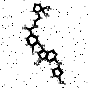 Cn1cc(Nc2ncc3c(Nc4cc(C(O)NCCN5CCCC5(C)C)ccc4F)nn(C)c3n2)cn1